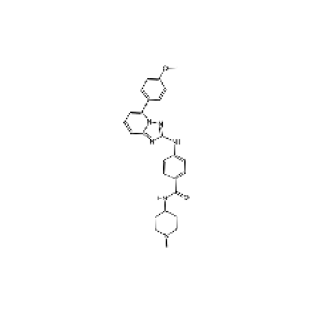 COc1ccc(-c2cccc3nc(Nc4ccc(C(=O)NC5CCN(C)CC5)cc4)nn23)cc1